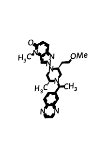 COCC[C@H]1CN(C(C)c2ccc3nccnc3c2)[C@H](C)CN1n1cc2c(ccc(=O)n2C)n1